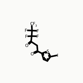 O=C(CC(=O)C(F)(F)C(F)(F)C(F)(F)F)c1ccc(I)s1